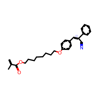 C=C(C)C(=O)OCCCCCCCCOc1ccc(/C=C(\C#N)c2ccccc2)cc1